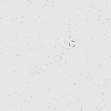 CCCCCC1CCC(COC2CCC(C3CCC(c4ccc(OCC)c(F)c4F)CC3)CC2)CC1